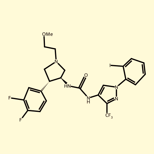 COCCN1C[C@@H](NC(=O)Nc2cn(-c3ccccc3I)nc2C(F)(F)F)[C@H](c2ccc(F)c(F)c2)C1